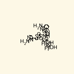 N=C(N)c1cccc(CN2CC[C@H](NCS(=O)(=O)c3ccc(-c4ccnc(N)n4)s3)C2=O)c1.O=C(O)C(F)(F)F.O=C(O)C(F)(F)F